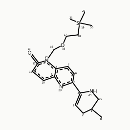 CC1CC=C(c2ccc3c(ccc(=O)n3COCC[Si](C)(C)C)n2)NC1